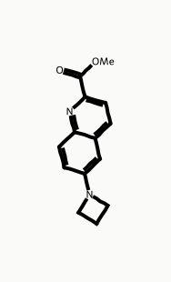 COC(=O)c1ccc2cc(N3CCC3)ccc2n1